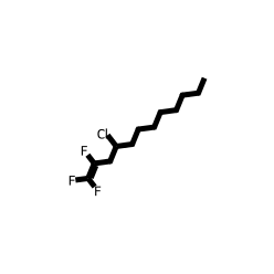 CCCCCCCCC(Cl)CC(F)=C(F)F